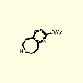 COc1ccc2c(n1)CCNCC2